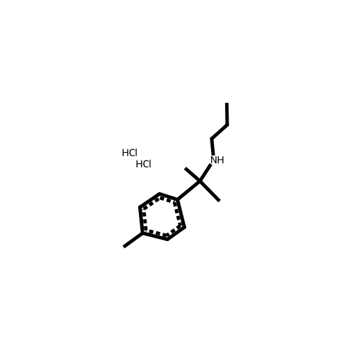 CCCNC(C)(C)c1ccc(C)cc1.Cl.Cl